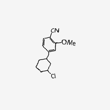 COc1cc(C2CCCC(Cl)C2)ccc1C#N